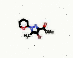 COC(=O)c1nn(C2CCCCO2)c(C)c1Br